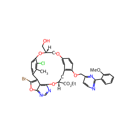 CCOC(=O)[C@H]1Cc2cc(ccc2OCc2ccnc(-c3ccccc3OC)n2)OC[C@@H](CO)Oc2ccc(c(C)c2Cl)-c2c(Br)oc3ncnc(c23)O1